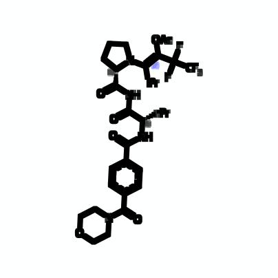 CCC[C@H](NC(=O)c1ccc(C(=O)N2CCOCC2)cc1)C(=O)NC(=O)[C@@H]1CCCN1/C(=C(\OC(C)=O)C(F)(F)C(F)(F)F)C(C)C